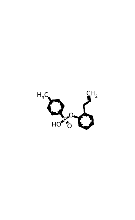 C=CCc1ccccc1OP(=O)(O)c1ccc(C)cc1